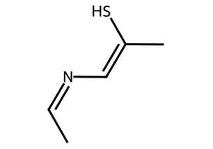 C/C=N\C=C(\C)S